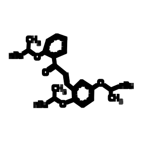 CCCCC(C)Oc1ccc(OC(C)CCCC)c(C=CC(=O)c2ccccc2OC(C)CCCC)c1